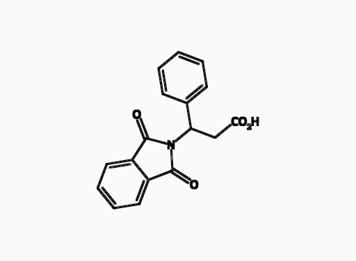 O=C(O)CC(c1ccccc1)N1C(=O)c2ccccc2C1=O